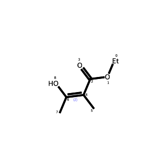 CCOC(=O)/C(C)=C(/C)O